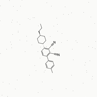 CCC[C@H]1CC[C@H](c2ccc(-c3ccc(C)cc3)c(C#N)c2C#N)CC1